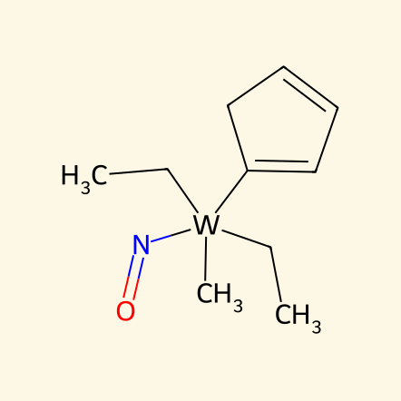 C[CH2][W]([CH3])([CH2]C)([N]=O)[C]1=CC=CC1